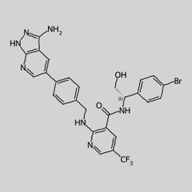 Nc1n[nH]c2ncc(-c3ccc(CNc4ncc(C(F)(F)F)cc4C(=O)N[C@H](CO)c4ccc(Br)cc4)cc3)cc12